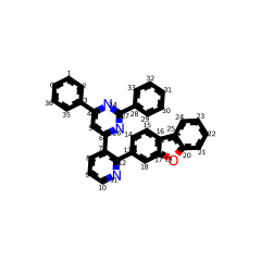 c1ccc(-c2cc(-c3cccnc3-c3ccc4c(c3)oc3ccccc34)nc(-c3ccccc3)n2)cc1